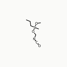 CCC[Si](C)(OC)OCN=C=O